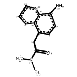 CN(C)C(=O)Cc1ccc(N)c2ncccc12